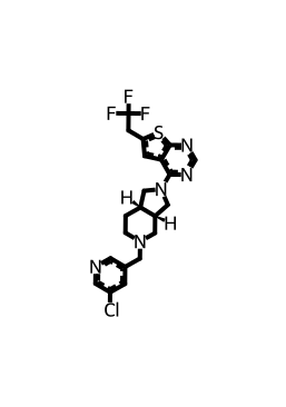 FC(F)(F)Cc1cc2c(N3C[C@H]4CCN(Cc5cncc(Cl)c5)C[C@H]4C3)ncnc2s1